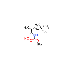 C[C@@H](C=C[Si](C)(C)C(C)(C)C)[C@@H](CO)NC(=O)OC(C)(C)C